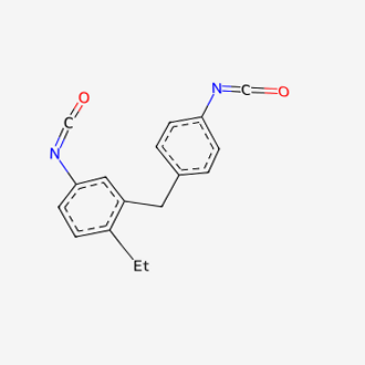 CCc1ccc(N=C=O)cc1Cc1ccc(N=C=O)cc1